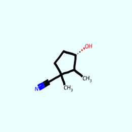 CC1[C@@H](O)CCC1(C)C#N